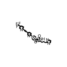 O=CNC(CCCc1ncccn1)CS(=O)(=O)N1CCN(c2ccc(C#Cc3ccc(C(F)(F)F)cn3)cn2)CC1